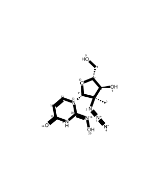 C[C@@]1(N=[N+]=[N-])[C@H](O)[C@@H](CO)O[C@H]1n1ccc(=O)[nH]/c1=N\O